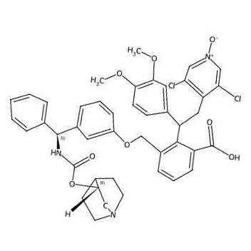 COc1ccc(C(Cc2c(Cl)c[n+]([O-])cc2Cl)c2c(COc3cccc([C@@H](NC(=O)O[C@H]4CN5CCC4CC5)c4ccccc4)c3)cccc2C(=O)O)cc1OC